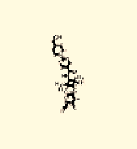 CC1(C)C(NC(=O)c2cnc(N3CCC(CO)CC3)nc2)C(C)(C)C1Oc1cnc(C#N)c(Cl)c1